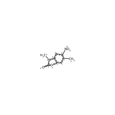 Cc1cc2oc(=O)n(C)c2cc1[N+](=O)[O-]